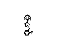 Fc1ccccc1Cn1ccc(-c2ncccn2)n1